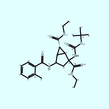 CCOC(=O)[C@H]1C2C(NC(=O)c3ccccc3C)CC(NC(=O)OC(C)(C)C)(C(=O)OCC)C21